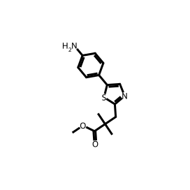 COC(=O)C(C)(C)Cc1ncc(-c2ccc(N)cc2)s1